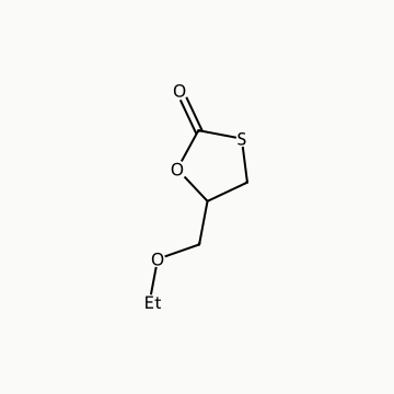 CCOCC1CSC(=O)O1